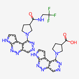 O=C(NCC(F)(F)F)C1CCN(c2nncc3nnc4[nH]ccc4c23)C1.O=C(O)C1CCN(c2nncc3nnc4[nH]ccc4c23)C1